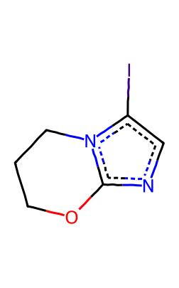 Ic1cnc2n1CCCO2